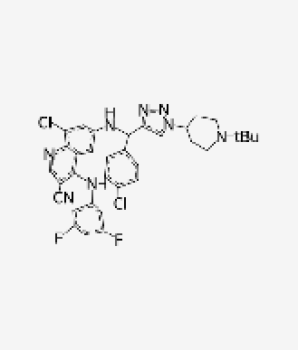 CC(C)(C)N1CCC(n2cc(C(Nc3cc(Cl)c4ncc(C#N)c(Nc5cc(F)cc(F)c5)c4c3)c3ccc(Cl)cc3)nn2)CC1